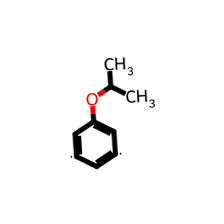 CC(C)Oc1c[c]c[c]c1